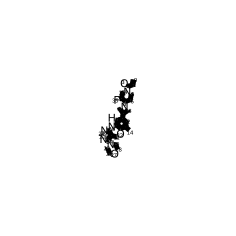 C=CC(=O)N1CCC(N2CC(c3cc(C)c4c(c3)Nc3ncnc(N5CCOCC5)c3CO4)C2)C(F)C1